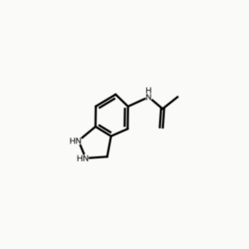 C=C(C)Nc1ccc2c(c1)CNN2